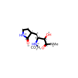 CNC(=O)C(O)[C@H](CC1CCNC1=O)NC(=O)O